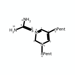 CCCCCC1=CN(CCCCC)CN=C1.NC(N)=S